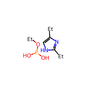 CCOP(O)O.CCc1c[nH]c(CC)n1